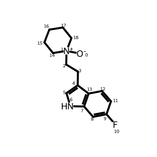 [O-][N+]1(CCc2c[nH]c3cc(F)ccc23)CCCCC1